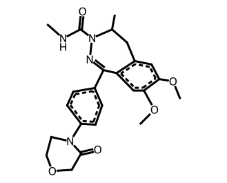 CNC(=O)N1N=C(c2ccc(N3CCOCC3=O)cc2)c2cc(OC)c(OC)cc2CC1C